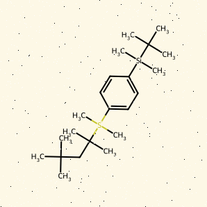 CC(C)(C)CC(C)(C)S(C)(C)c1ccc([Si](C)(C)C(C)(C)C)cc1